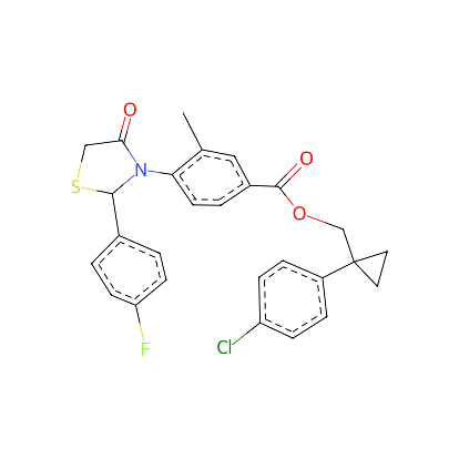 Cc1cc(C(=O)OCC2(c3ccc(Cl)cc3)CC2)ccc1N1C(=O)CSC1c1ccc(F)cc1